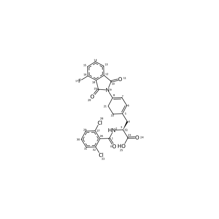 O=C(N[C@@H](CC1=CC=C(N2C(=O)c3cccc(F)c3C2=O)CC1)C(=O)O)c1c(Cl)cccc1Cl